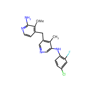 COc1c(Cc2cncc(Nc3ccc(Cl)cc3F)c2C)ccnc1N